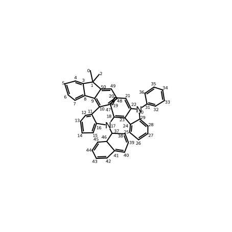 CC1(C)c2ccccc2-c2c(-c3ccccc3N(c3cccc4c3c3ccccc3n4-c3ccccc3)C3C=CC=C4C=CC=CC43)cccc21